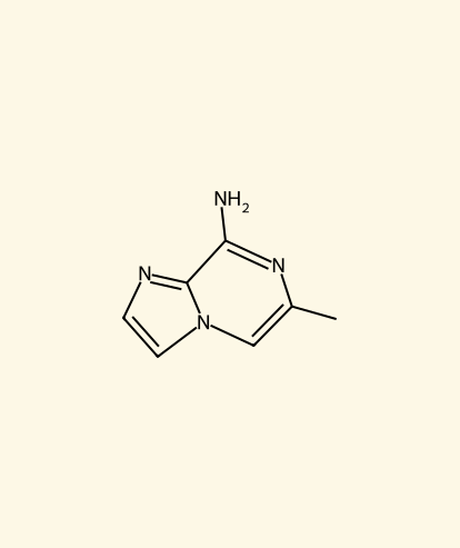 Cc1cn2ccnc2c(N)n1